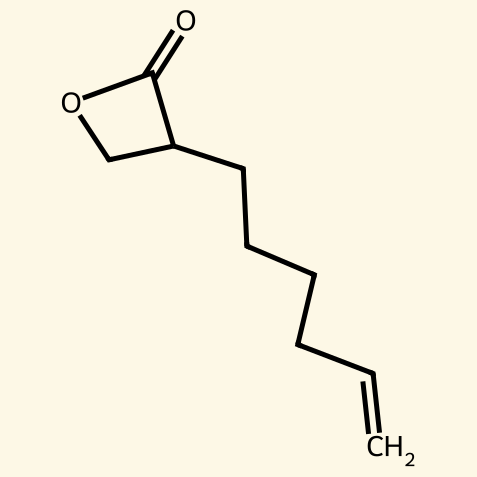 C=CCCCCC1COC1=O